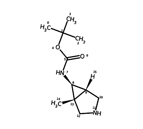 CC(C)(C)OC(=O)N[C@H]1[C@@H]2CNC[C@@]21C